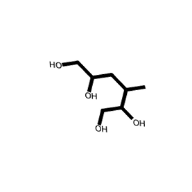 CC(CC(O)CO)C(O)CO